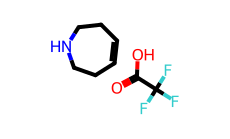 C1=CCCNCC1.O=C(O)C(F)(F)F